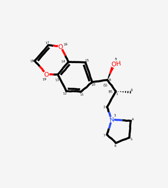 C[C@H](CN1CCCC1)[C@H](O)c1ccc2c(c1)OC=CO2